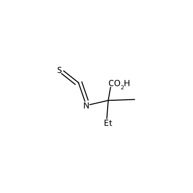 CCC(C)(N=C=S)C(=O)O